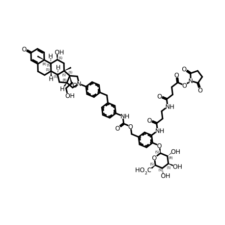 C[C@]12C=CC(=O)C=C1CC[C@@H]1[C@@H]2[C@@H](O)C[C@@]2(C)[C@H]1C[C@H]1CN(c3ccc(Cc4cccc(NC(=O)OCc5ccc(O[C@@H]6O[C@H](C(=O)O)[C@@H](O)[C@H](O)[C@H]6O)c(NC(=O)CCNC(=O)CCC(=O)ON6C(=O)CCC6=O)c5)c4)cc3)C[C@]12C(=O)CO